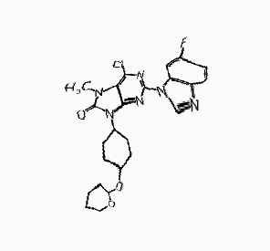 Cn1c(=O)n(C2CCC(OC3CCCCO3)CC2)c2nc(-n3cnc4ccc(F)cc43)nc(Cl)c21